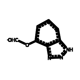 O=[C]Oc1cccc2[nH]nnc12